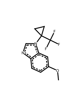 COc1ccc2ncn(C3(C(F)(F)F)CC3)c2c1